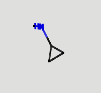 [NH]C1CC1